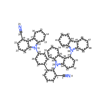 N#Cc1cccc(-c2ccc(-n3c4ccccc4c4c(C#N)cccc43)cc2)c1-n1c2ccccc2c2c(-n3c4ccccc4c4ccccc43)cccc21